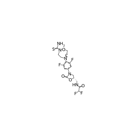 NC(=S)N1CCN(c2c(F)cc(N3C[C@H](CNC(=O)C(F)F)OC3=O)cc2F)CCO1